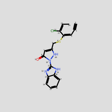 C#C/C=C(SCc1cc(=O)n(-c2nc3ccccc3[nH]2)[nH]1)\C(Cl)=C/C